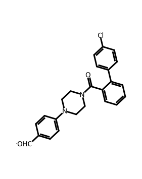 O=[C]c1ccc(N2CCN(C(=O)c3ccccc3-c3ccc(Cl)cc3)CC2)cc1